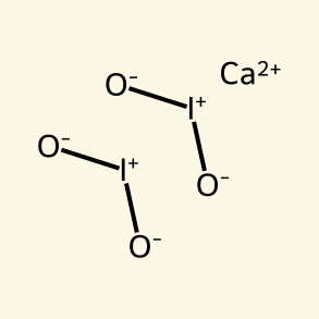 [Ca+2].[O-][I+][O-].[O-][I+][O-]